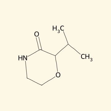 CC(C)C1OCCNC1=O